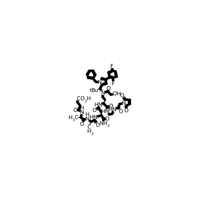 C[C@H](NC(=O)CCC(=O)O)C(=O)N[C@@H](C)C(=O)N[C@@H](CC(=O)N[C@@H](CCN(C(=O)CO)[C@@H](c1cc(-c2cc(F)ccc2F)cn1Cc1ccccc1)C(C)(C)C)C(=O)NCCNC(=O)CN1C(=O)C=CC1=O)C(N)=O